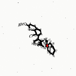 COc1ccc2ccc(-c3c[nH]c4nc(N5C6CCC5CC(N)C6)cnc34)c(Cl)c2n1